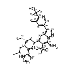 CCCN(C(=O)c1nnc[nH]1)[C@H](CC)CCc1nc2c(-c3cnc(C(C)(C)O)c(C)c3)cnn2c(N)c1S(C)(=O)=O